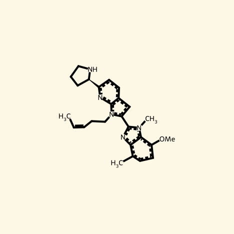 C/C=C\CCn1c(-c2nc3c(C)ccc(OC)c3n2C)cc2ccc([C@H]3CCCN3)nc21